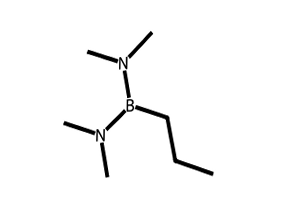 CCCB(N(C)C)N(C)C